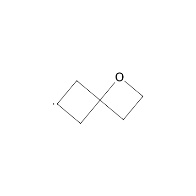 [CH]1CC2(C1)CCO2